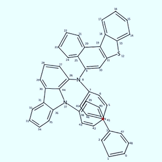 c1ccc(-c2ccc(N(c3cc4sc5ccccc5c4c4ccccc34)c3cccc4c5ccccc5n(-c5ccccc5)c34)cc2)cc1